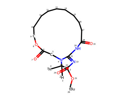 [2H]C([2H])([2H])N1CC(=O)OCCCCCCCCCC(=O)N/C1=N/C(=O)OC(C)(C)C